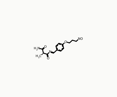 C[C@@H](C(N)=O)C(=O)/N=C/c1ccc(OCCCN=O)cc1